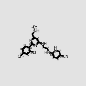 CCNCc1cc(NCCNC2=CC=C(C#N)CN2)nc(-c2ccc(Cl)cc2Cl)n1